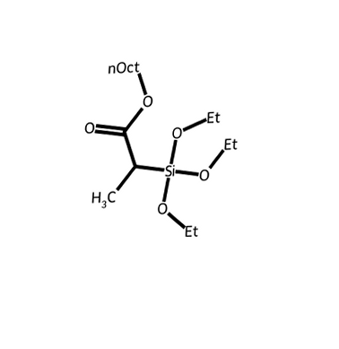 CCCCCCCCOC(=O)C(C)[Si](OCC)(OCC)OCC